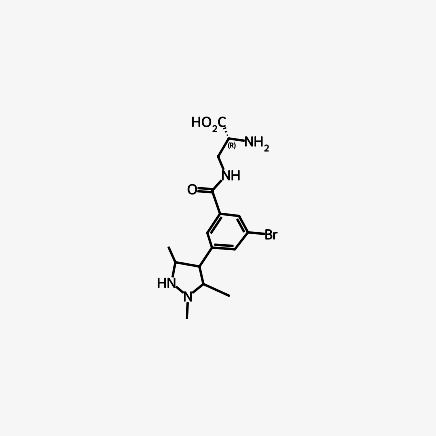 CC1NN(C)C(C)C1c1cc(Br)cc(C(=O)NC[C@@H](N)C(=O)O)c1